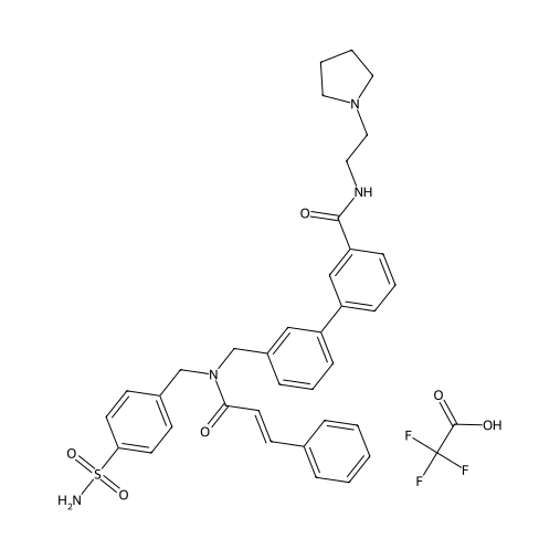 NS(=O)(=O)c1ccc(CN(Cc2cccc(-c3cccc(C(=O)NCCN4CCCC4)c3)c2)C(=O)C=Cc2ccccc2)cc1.O=C(O)C(F)(F)F